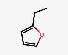 CCc1cc[c]o1